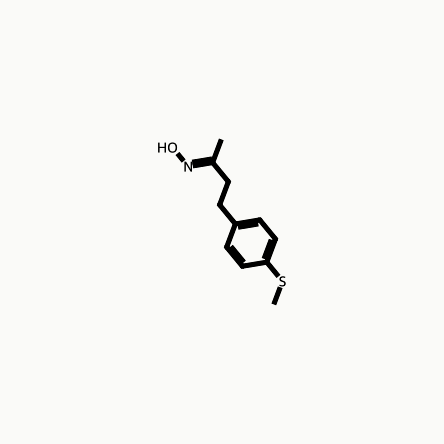 CSc1ccc(CCC(C)=NO)cc1